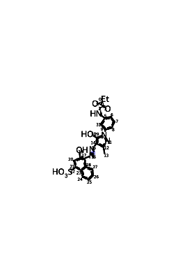 CCS(=O)(=O)Nc1cccc(-n2nc(C)c(/N=N/c3c(O)cc(S(=O)(=O)O)c4ccccc34)c2O)c1